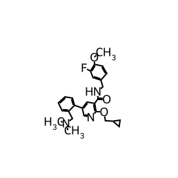 COc1ccc(CNC(=O)c2cc(-c3ccccc3CN(C)C)cnc2OCC2CC2)cc1F